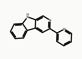 c1ccc(-c2cc3c(cn2)[nH]c2ccccc23)nc1